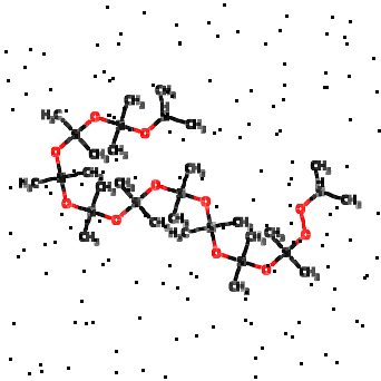 C[SiH](C)OO[Si](C)(C)O[Si](C)(C)O[Si](C)(C)O[Si](C)(C)O[Si](C)(C)O[Si](C)(C)O[Si](C)(C)O[Si](C)(C)O[Si](C)(C)O[SiH](C)C